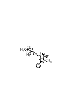 Cc1nc(-c2ccccc2)nc(NCCOCC(=O)OC(C)(C)C)c1[N+](=O)[O-]